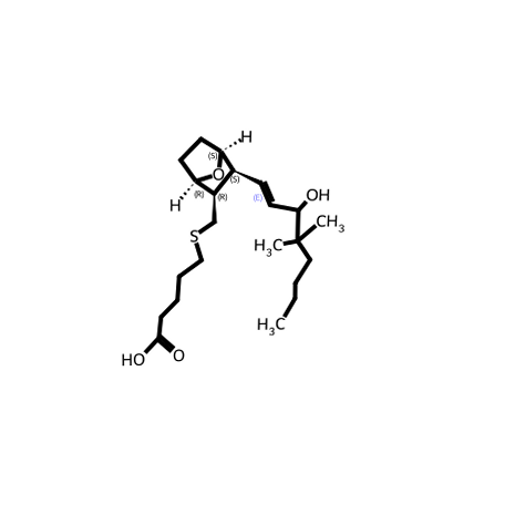 CCCCC(C)(C)C(O)/C=C/[C@H]1[C@@H](CSCCCCC(=O)O)[C@H]2CC[C@@H]1O2